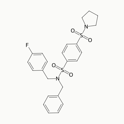 O=S(=O)(c1ccc(S(=O)(=O)N(Cc2ccccc2)Cc2ccc(F)cc2)cc1)N1CCCC1